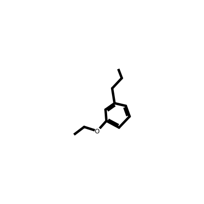 CCCc1cccc(OCC)c1